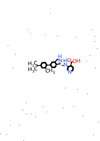 Cc1cc(C(C)C)ccc1-c1ccc2c(c1)CN[C@@H]2CNc1cnccc1C(=O)O